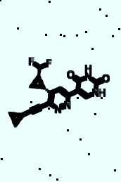 O=c1[nH]cc(-c2cc([C@@H]3C[C@H]3C(F)F)c(C#CC3CC3)nn2)c(=O)[nH]1